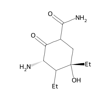 CCC1[C@H](N)C(=O)C(C(N)=O)C[C@@]1(O)CC